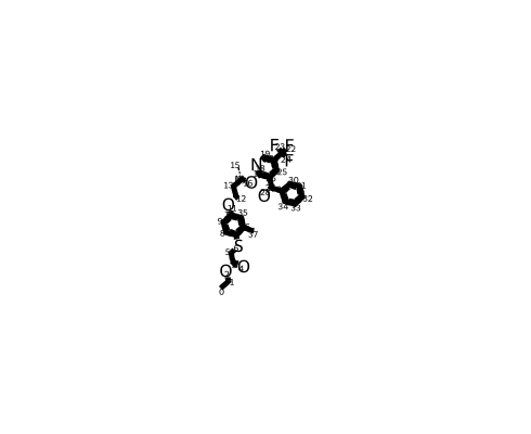 CCOC(=O)CSc1ccc(OCC[C@H](C)Oc2ncc(C(F)(F)F)cc2C(=O)c2ccccc2)cc1C